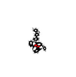 c1cc2ccc(-c3ccccc3N(c3ccc(-c4ccc5c(c4)oc4ccccc45)cc3)c3ccc(-c4nc5ccccc5o4)cc3)sc-2c1